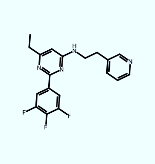 CCc1cc(NCCc2cccnc2)nc(-c2cc(F)c(F)c(F)c2)n1